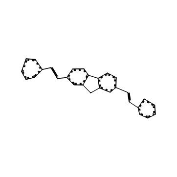 C(=Cc1ccc2c(c1)Cc1cc(C=Cc3ccccc3)ccc1-2)c1ccccc1